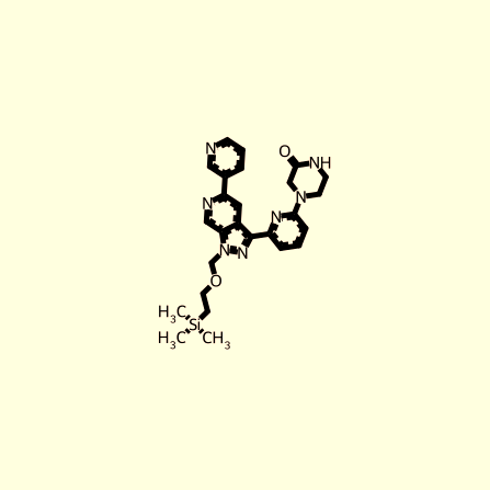 C[Si](C)(C)CCOCn1nc(-c2cccc(N3CCNC(=O)C3)n2)c2cc(-c3cccnc3)ncc21